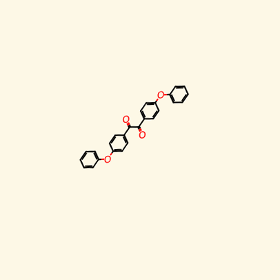 O=C(C(=O)c1ccc(Oc2ccccc2)cc1)c1ccc(Oc2ccccc2)cc1